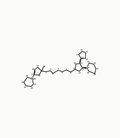 CC1(CCCCCCCC2CC(=C3CCCC3)C(=[N+]3CCCCC3)C2)CC=C(N2CCCCC2)C1